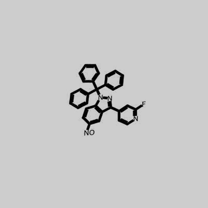 O=Nc1ccc2c(c1)c(-c1ccnc(F)c1)nn2C(c1ccccc1)(c1ccccc1)c1ccccc1